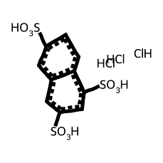 Cl.Cl.Cl.O=S(=O)(O)c1ccc2c(S(=O)(=O)O)cc(S(=O)(=O)O)cc2c1